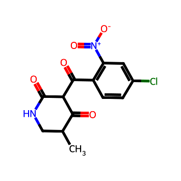 CC1CNC(=O)C(C(=O)c2ccc(Cl)cc2[N+](=O)[O-])C1=O